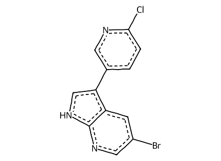 Clc1ccc(-c2c[nH]c3ncc(Br)cc23)cn1